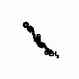 COC(=O)CCCN1CCN(CC2CN(CCCCN3CCN(C4CCCCC4)CC3)C(=O)O2)CC1